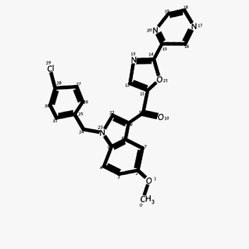 COc1ccc2c(c1)c(C(=O)c1cnc(-c3cnccn3)o1)cn2Cc1ccc(Cl)cc1